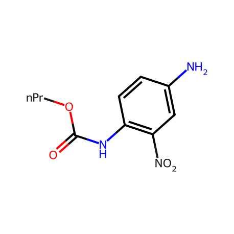 CCCOC(=O)Nc1ccc(N)cc1[N+](=O)[O-]